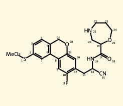 COSc1ccc2c(c1)-c1cc(F)c(CC(C#N)NC(=O)C3CNCCCO3)cc1OC2